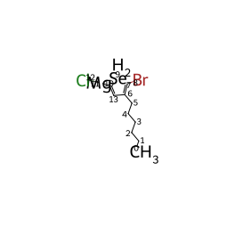 CCCCCCC1=C(Br)[SeH2][C]([Mg][Cl])=C1